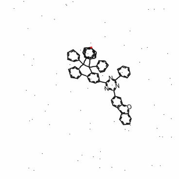 c1ccc(-c2nc(-c3ccc4c(c3)C(c3ccccc3)(c3ccccc3)C(c3ccccc3)(c3ccccc3)c3ccccc3-4)nc(-c3ccc4c(c3)oc3ccccc34)n2)cc1